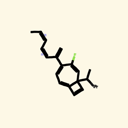 C=C(/C=C\C=C/C)C1=CC=C2C=CC2(C(C)C(C)C)C=C1F